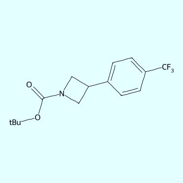 CC(C)(C)OC(=O)N1CC(c2ccc(C(F)(F)F)cc2)C1